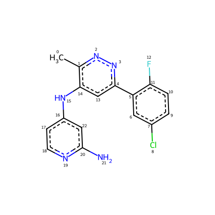 Cc1nnc(-c2cc(Cl)ccc2F)cc1Nc1ccnc(N)c1